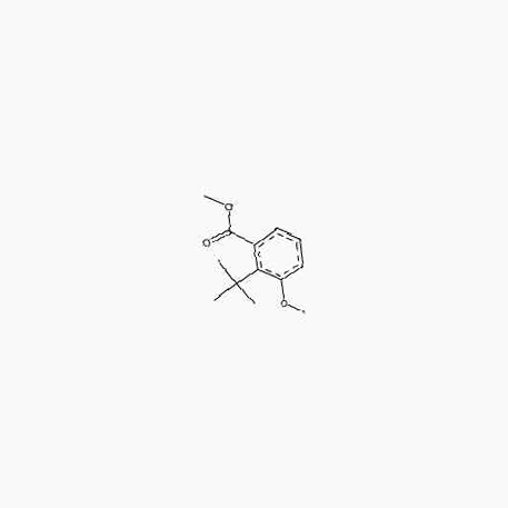 COC(=O)c1cccc(OC)c1C(C)(C)C